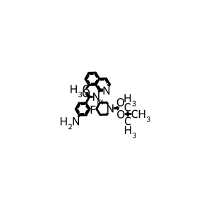 Cc1cccc2ccnc(N(C(=O)c3ccc(N)cc3F)[C@@H]3CCCN(C(=O)OC(C)(C)C)C3)c12